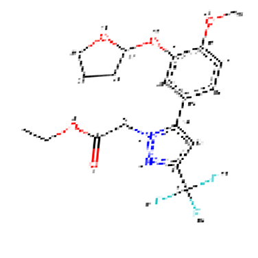 CCOC(=O)Cn1nc(C(F)(F)F)cc1-c1ccc(OC)c(OC2CCCO2)c1